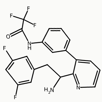 NC(Cc1cc(F)cc(F)c1)c1ncccc1-c1cccc(NC(=O)C(F)(F)F)c1